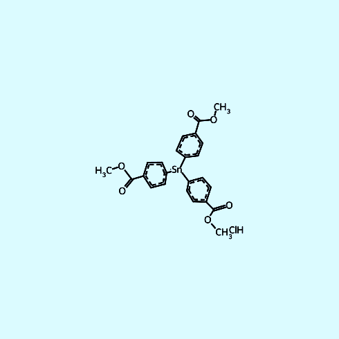 COC(=O)c1cc[c]([Sn]([c]2ccc(C(=O)OC)cc2)[c]2ccc(C(=O)OC)cc2)cc1.Cl